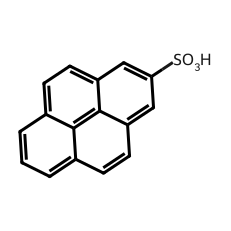 O=S(=O)(O)c1cc2ccc3cccc4ccc(c1)c2c34